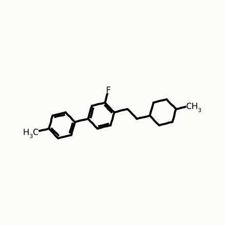 Cc1ccc(-c2ccc(CCC3CCC(C)CC3)c(F)c2)cc1